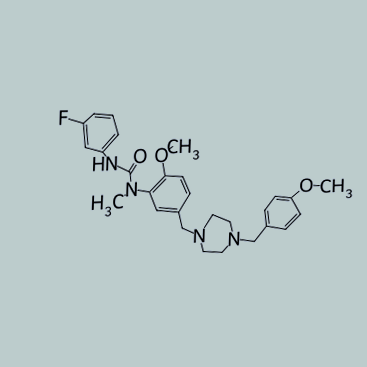 COc1ccc(CN2CCN(Cc3ccc(OC)c(N(C)C(=O)Nc4cccc(F)c4)c3)CC2)cc1